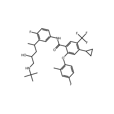 Cc1cc(F)ccc1Oc1cc(C2CC2)c(C(F)(F)F)cc1C(=O)Nc1ccc(F)c(C(C)CC(O)CNC(C)(C)C)c1